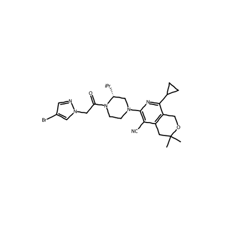 CC(C)[C@@H]1CN(c2nc(C3CC3)c3c(c2C#N)CC(C)(C)OC3)CCN1C(=O)Cn1cc(Br)cn1